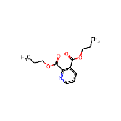 CCCOC(=O)c1cccnc1C(=O)OCCC